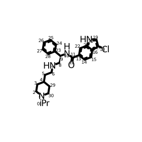 CC(C)N1CCC(CCNC[C@H](NC(=O)c2ccc3c(Cl)c[nH]c3c2)c2ccccc2)CC1